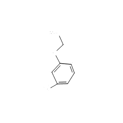 COCOc1[c]ccc(C(F)(F)F)c1